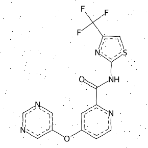 O=C(Nc1nc(C(F)(F)F)cs1)c1cc(Oc2cncnc2)ccn1